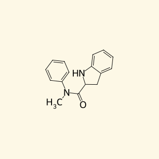 CN(C(=O)C1Cc2ccccc2N1)c1ccccc1